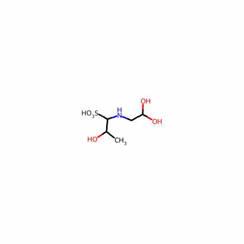 CC(O)C(NCC(O)O)S(=O)(=O)O